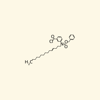 C=CCCCCCCCCC=CCCCN(C(=O)OCc1ccccc1)c1cccc(C(=O)Cl)c1